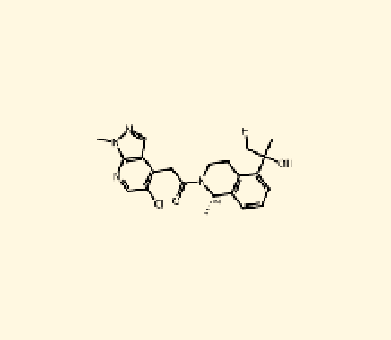 C[C@H]1c2cccc(C(C)(O)CF)c2CCN1C(=O)Cc1c(Cl)cnc2c1cnn2C